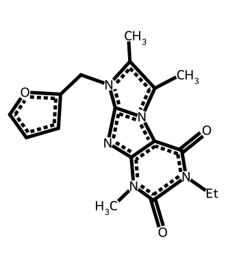 CCn1c(=O)c2c(nc3n(Cc4ccco4)c(C)c(C)n23)n(C)c1=O